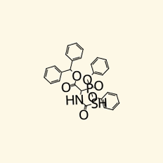 O=C(S)NC(C(=O)OC(c1ccccc1)c1ccccc1)P(=O)(Oc1ccccc1)Oc1ccccc1